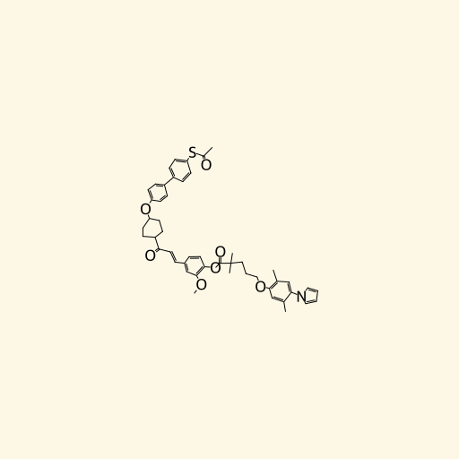 COc1cc(C=CC(=O)C2CCC(Oc3ccc(-c4ccc(SC(C)=O)cc4)cc3)CC2)ccc1OC(=O)C(C)(C)CCCOc1cc(C)c(-n2cccc2)cc1C